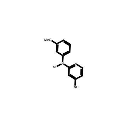 COc1cccc(N(C(C)=O)c2cc(N=O)ccn2)c1